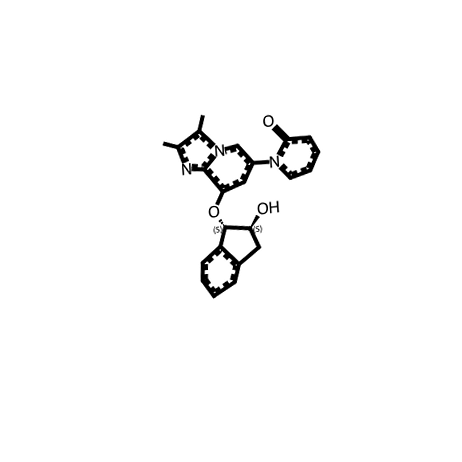 Cc1nc2c(O[C@H]3c4ccccc4C[C@@H]3O)cc(-n3ccccc3=O)cn2c1C